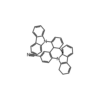 CC1C=CC=C(n2c3ccccc3c3ccccc32)C1c1cc(C#N)ccc1-n1c2c(c3ccccc31)C=CCC2